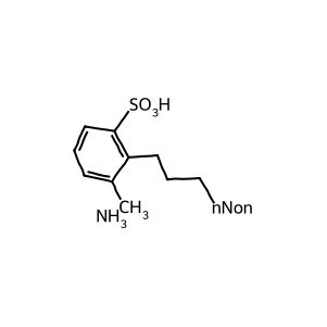 CCCCCCCCCCCCc1c(C)cccc1S(=O)(=O)O.N